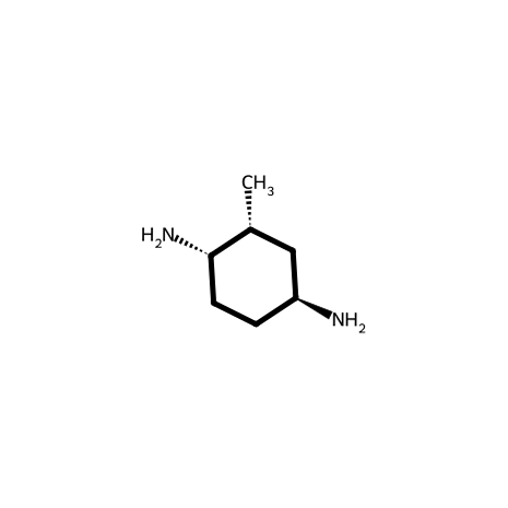 C[C@@H]1C[C@@H](N)CC[C@@H]1N